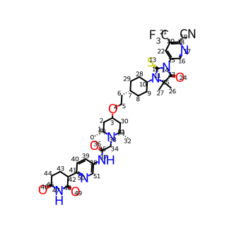 C[C@@H]1CC(OCC[C@H]2CC[C@H](N3C(=S)N(c4cnc(C#N)c(C(F)(F)F)c4)C(=O)C3(C)C)CC2)C[C@H](C)N1CC(=O)Nc1ccc(C2CCC(=O)NC2=O)nc1